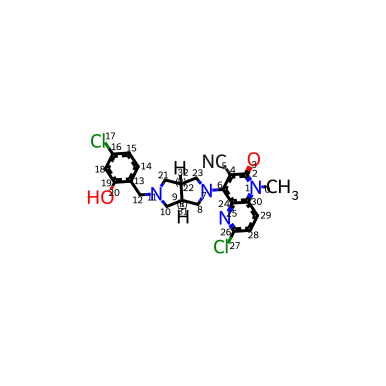 Cn1c(=O)c(C#N)c(N2C[C@H]3CN(Cc4ccc(Cl)cc4O)C[C@@H]3C2)c2nc(Cl)ccc21